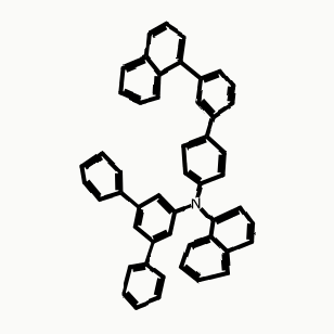 c1ccc(-c2cc(-c3ccccc3)cc(N(c3ccc(-c4cccc(-c5cccc6ccccc56)c4)cc3)c3cccc4ccccc34)c2)cc1